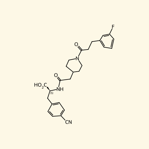 N#Cc1ccc(C[C@H](NC(=O)CC2CCN(C(=O)CCc3cccc(F)c3)CC2)C(=O)O)cc1